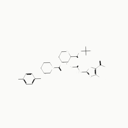 CC(=O)c1sc(NC(=O)N[C@H]2C(C(=O)OC(C)(C)C)NCC[C@@H]2C(=O)N2CCC[C@@H](Cc3ccc(F)cc3)C2)nc1C